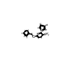 Nc1ccc(OCc2ccccc2)nc1-n1cccc1